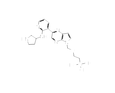 C[Si](C)(C)CCOCn1ccc2nc(-c3cccnc3NC3CCNC3)cnc21